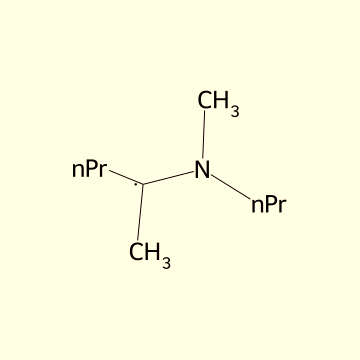 CCC[C](C)N(C)CCC